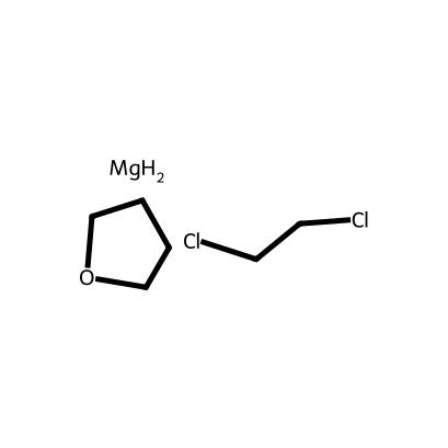 C1CCOC1.ClCCCl.[MgH2]